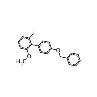 COc1cccc(I)c1-c1ccc(OCc2ccccc2)cc1